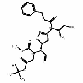 COC(=O)[C@H](CC(=O)OC(C)(C)C)N(C=O)C1CC([C@@H](C(=O)OCc2ccccc2)C(C)CN)=NO1